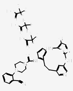 N#Cc1ccccc1N1CCN(C(=O)Nc2ccc3cc2CCc2cncc(c2)Nc2ncc(Cl)c(n2)N3)CC1.O=C(O)C(F)(F)F.O=C(O)C(F)(F)F.O=C(O)C(F)(F)F